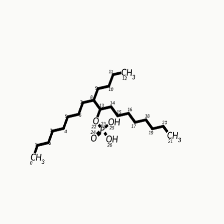 CCCCCCCCC(CCCC)C(CCCCCCCC)OP(=O)(O)O